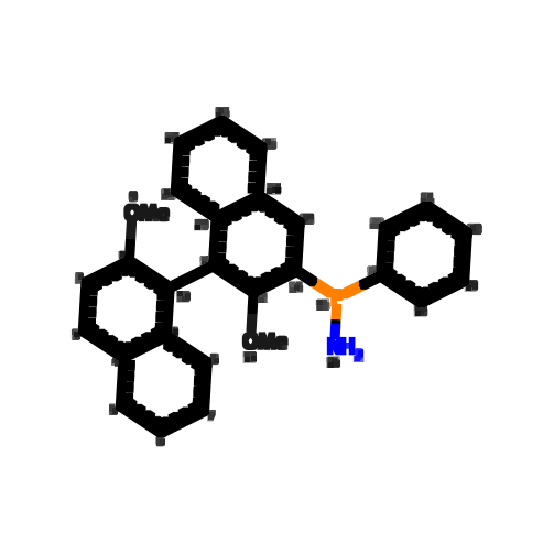 COc1ccc2ccccc2c1-c1c(OC)c(P(N)c2ccccc2)cc2ccccc12